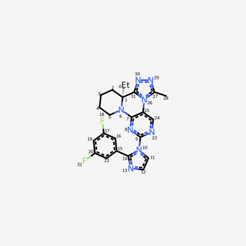 CC[C@@]12CCCCN1c1nc(-n3ccnc3-c3cc(F)cc(F)c3)ncc1-n1c(C)nnc12